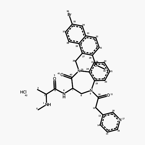 CNC(C)C(=O)NC1CN(C(=O)Cc2cccnc2)c2ccccc2N(Cc2c(OC)ccc3cc(Br)ccc23)C1=O.Cl